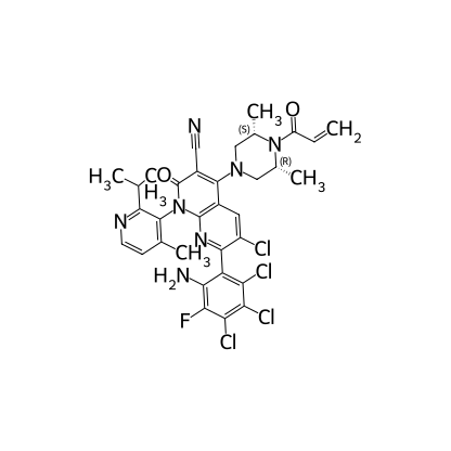 C=CC(=O)N1[C@H](C)CN(c2c(C#N)c(=O)n(-c3c(C)ccnc3C(C)C)c3nc(-c4c(N)c(F)c(Cl)c(Cl)c4Cl)c(Cl)cc23)C[C@@H]1C